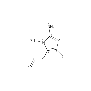 C=CSc1c(C)cc(N)n1I